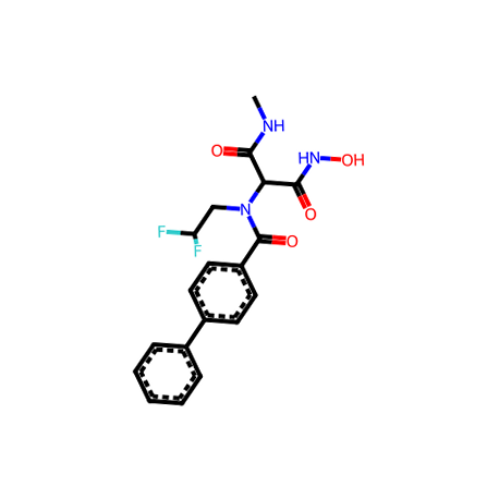 CNC(=O)C(C(=O)NO)N(CC(F)F)C(=O)c1ccc(-c2ccccc2)cc1